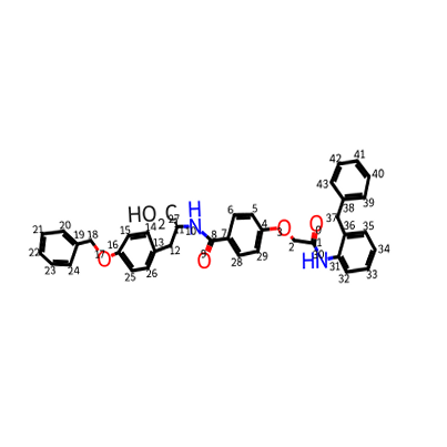 O=C(COc1ccc(C(=O)N[C@@H](Cc2ccc(OCc3ccccc3)cc2)C(=O)O)cc1)Nc1ccccc1Cc1ccccc1